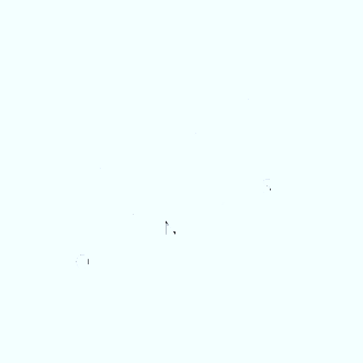 O=C1C=CC2=CCSC2=N1